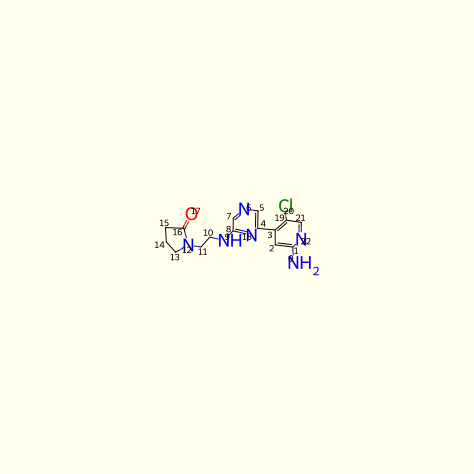 Nc1cc(-c2cncc(NCCN3CCCC3=O)n2)c(Cl)cn1